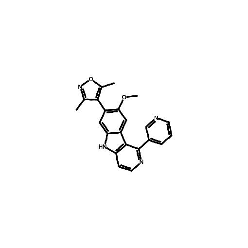 COc1cc2c(cc1-c1c(C)noc1C)[nH]c1ccnc(-c3cccnc3)c12